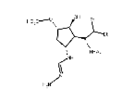 CCC(CC)[C@H](NC(C)=O)[C@@H]1[C@H](O)[C@@H](OC(=O)O)C[C@H]1NC=NN